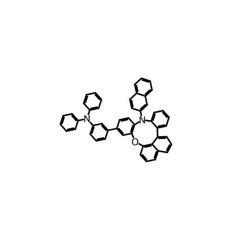 c1ccc(N(c2ccccc2)c2cccc(-c3ccc4c(c3)Oc3cccc5cccc(c35)-c3ccccc3N4c3ccc4ccccc4c3)c2)cc1